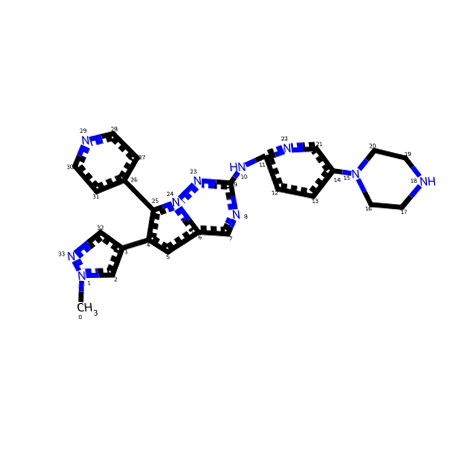 Cn1cc(-c2cc3cnc(Nc4ccc(N5CCNCC5)cn4)nn3c2-c2ccncc2)cn1